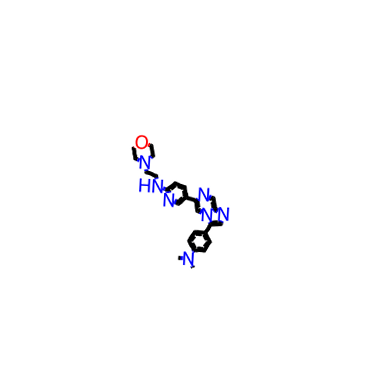 CN(C)c1ccc(-c2cnc3cnc(-c4ccc(NCCN5CCOCC5)nc4)cn23)cc1